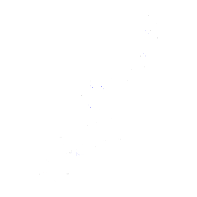 Cc1c(OCCN2CCN(C)CC2)cn2ncnc(Oc3ccc(NC(=O)c4ccoc4)cc3F)c12